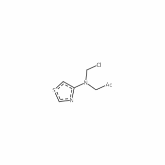 CC(=O)CN(CCl)c1cscn1